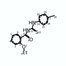 CCOc1ccccc1C(=O)NC(=S)Nc1ccc(C)cc1